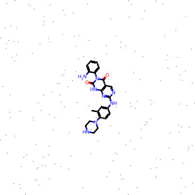 Cc1cc(Nc2ncc3c(=O)n(-c4ccccc4N)c(=O)[nH]c3n2)ccc1N1CCNCC1